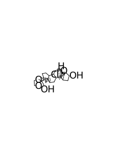 C[C@]12CCC3C(C[C@H]4OC[C@@]35CCC(O)C[C@]45Cl)C1CC[C@@H]2C1(CO)OCCO1